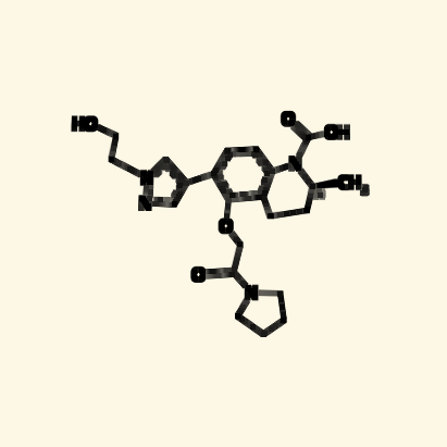 C[C@H]1CCc2c(ccc(-c3cnn(CCO)c3)c2OCC(=O)N2CCCC2)N1C(=O)O